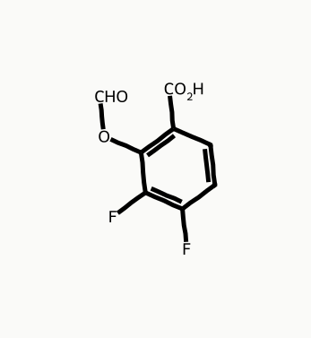 O=COc1c(C(=O)O)ccc(F)c1F